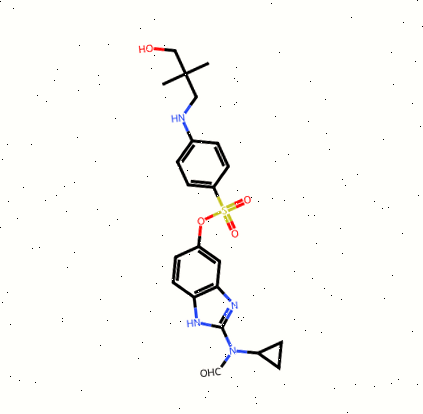 CC(C)(CO)CNc1ccc(S(=O)(=O)Oc2ccc3[nH]c(N(C=O)C4CC4)nc3c2)cc1